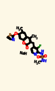 CNS(=O)(=O)Nc1nccc(Cc2c(C)c3cc(C)c(Oc4nccs4)cc3oc2=O)c1F.[NaH]